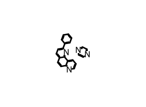 c1ccc(-c2ccc3ccc4ncccc4c3n2)cc1.c1cnccn1